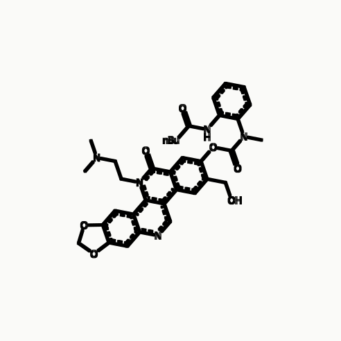 CCCCC(=O)Nc1ccccc1N(C)C(=O)Oc1cc2c(=O)n(CCN(C)C)c3c4cc5c(cc4ncc3c2cc1CO)OCO5